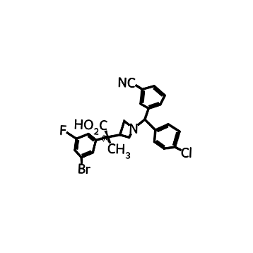 C[C@](C(=O)O)(c1cc(F)cc(Br)c1)C1CN(C(c2ccc(Cl)cc2)c2cccc(C#N)c2)C1